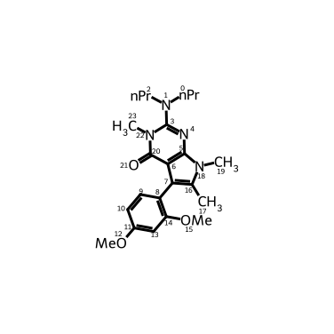 CCCN(CCC)c1nc2c(c(-c3ccc(OC)cc3OC)c(C)n2C)c(=O)n1C